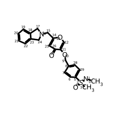 CN=S(C)(=O)c1ccc(COc2coc(CN3Cc4ccccc4C3)cc2=O)cc1